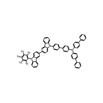 [2H]c1c([2H])c([2H])c(-n2c3ccccc3c3cc(-c4ccc5c(c4)c4ccccc4n5-c4ccc(-c5ccc(N(c6ccc(-c7ccccc7)cc6)c6ccc(-c7ccccc7)cc6)cc5)cc4)ccc32)c([2H])c1[2H]